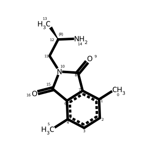 Cc1ccc(C)c2c1C(=O)N(C[C@@H](C)N)C2=O